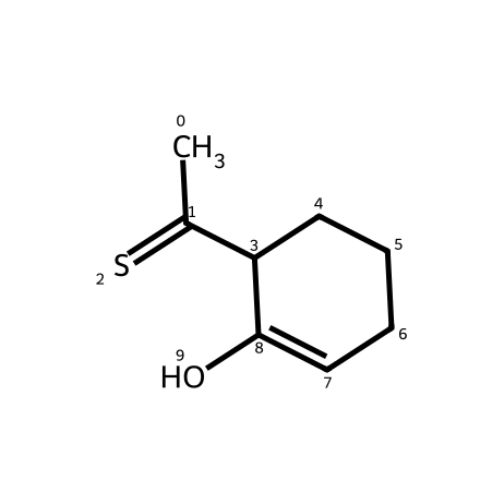 CC(=S)C1CCCC=C1O